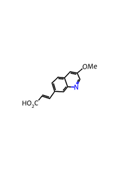 COc1cnc2cc(/C=C/C(=O)O)ccc2c1